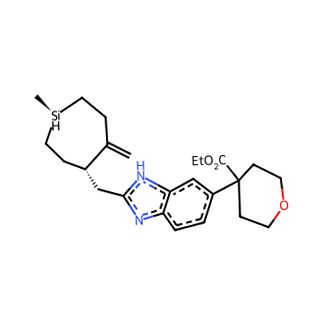 C=C1CC[Si@H](C)CC[C@H]1Cc1nc2ccc(C3(C(=O)OCC)CCOCC3)cc2[nH]1